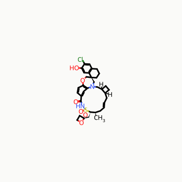 C[C@H]1C/C=C/C[C@H]2CC[C@H]2CN2C[C@@]3(CCCc4cc(Cl)c(O)cc43)COc3ccc(cc32)C(=O)NS(=O)(=O)[C@H]1C[C@@H]1CCO1